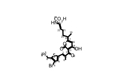 CC(=Cc1cc(Br)c(CC(C)C)s1)C(=O)c1c(O)cc(C(C)CC/C=C/NC(=O)O)oc1=O